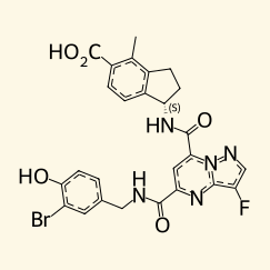 Cc1c(C(=O)O)ccc2c1CC[C@@H]2NC(=O)c1cc(C(=O)NCc2ccc(O)c(Br)c2)nc2c(F)cnn12